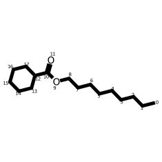 CCCCCCCCCOC(=O)C1CCCCC1